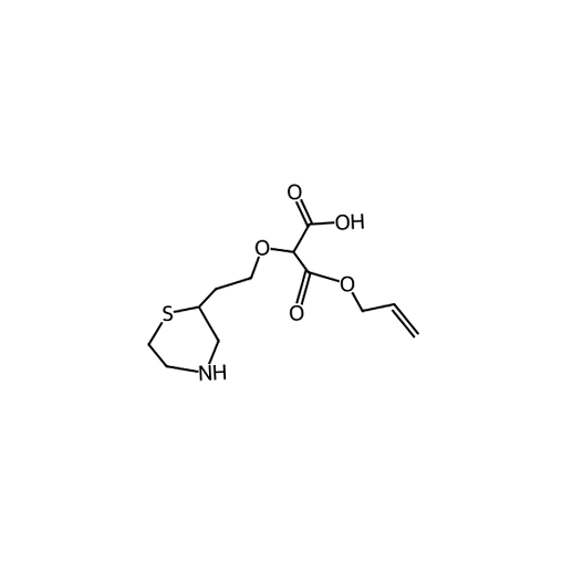 C=CCOC(=O)C(OCCC1CNCCS1)C(=O)O